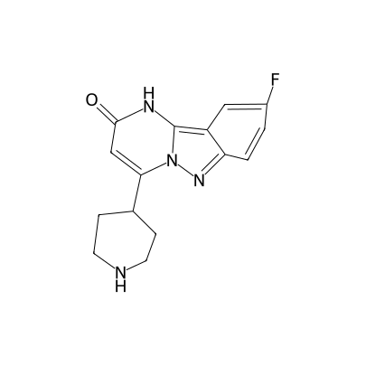 O=c1cc(C2CCNCC2)n2nc3ccc(F)cc3c2[nH]1